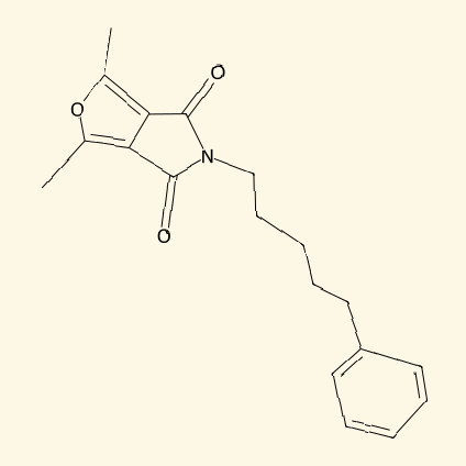 Cc1oc(C)c2c1C(=O)N(CCCCCc1ccccc1)C2=O